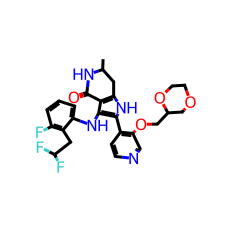 CC1Cc2[nH]c(-c3ccncc3OCC3COCCO3)c(Nc3cccc(F)c3CC(F)F)c2C(=O)N1